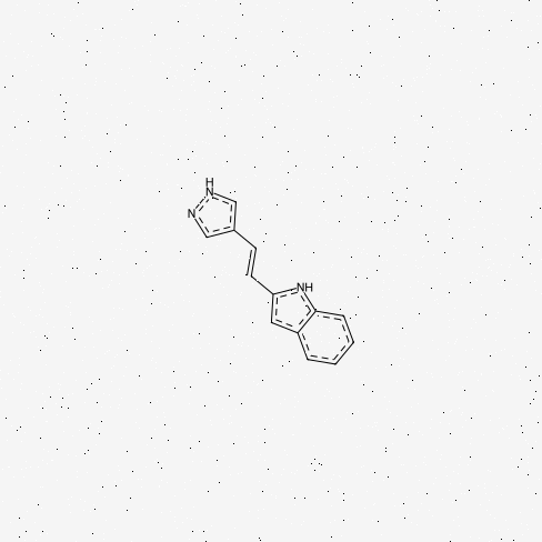 C(=Cc1cc2ccccc2[nH]1)c1cn[nH]c1